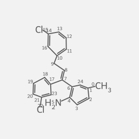 Cc1ccc(N)c(C(=CCc2cccc(Cl)c2)c2cccc(Cl)c2)c1